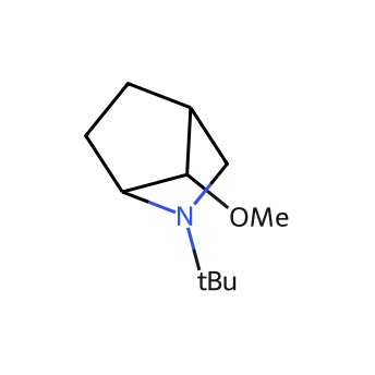 COC1C2CCC1N(C(C)(C)C)C2